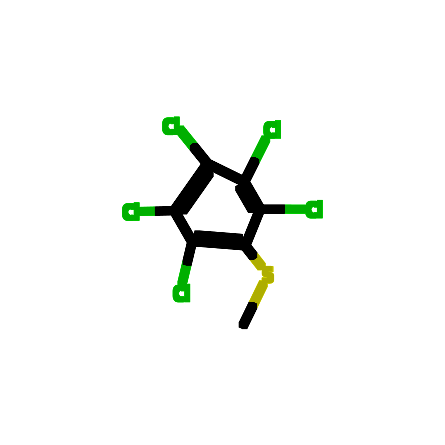 CSc1c(Cl)c(Cl)c(Cl)c(Cl)c1Cl